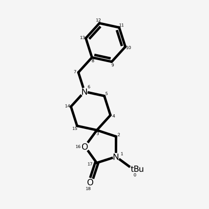 CC(C)(C)N1CC2(CCN(Cc3ccccc3)CC2)OC1=O